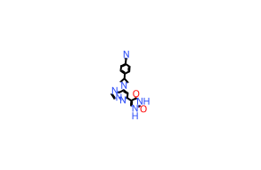 N#Cc1ccc(C2CN(c3cc(-c4c[nH]c(=O)[nH]c4=O)nn4ccnc34)C2)cc1